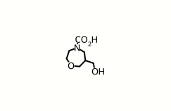 O=C(O)N1CCOCC(CO)C1